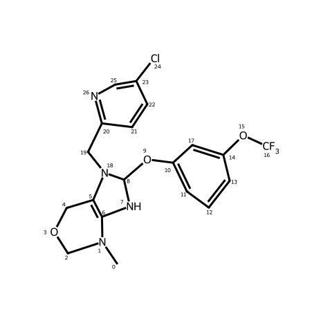 CN1COCC2=C1NC(Oc1cccc(OC(F)(F)F)c1)N2Cc1ccc(Cl)cn1